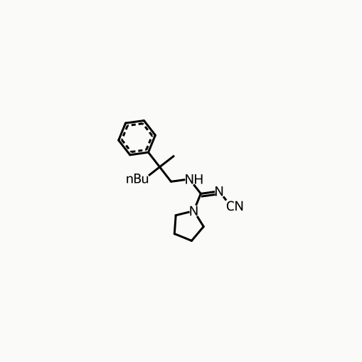 CCCCC(C)(CN/C(=N/C#N)N1CCCC1)c1ccccc1